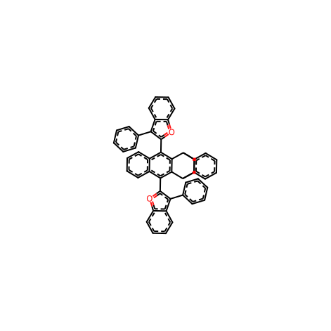 c1ccc(-c2c(-c3c4c(c(-c5oc6ccccc6c5-c5ccccc5)c5ccccc35)C3CCC4c4ccccc43)oc3ccccc23)cc1